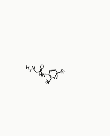 NCC(=O)Nc1ccc(Br)nc1Br